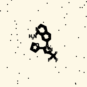 Nc1nccc2ccc(-n3nc(C(F)(F)F)cc3-c3ccco3)cc12